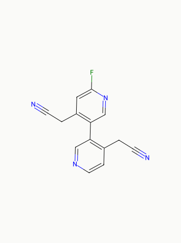 N#CCc1ccncc1-c1cnc(F)cc1CC#N